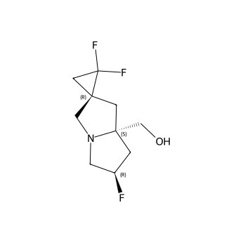 OC[C@]12C[C@@H](F)CN1C[C@]1(CC1(F)F)C2